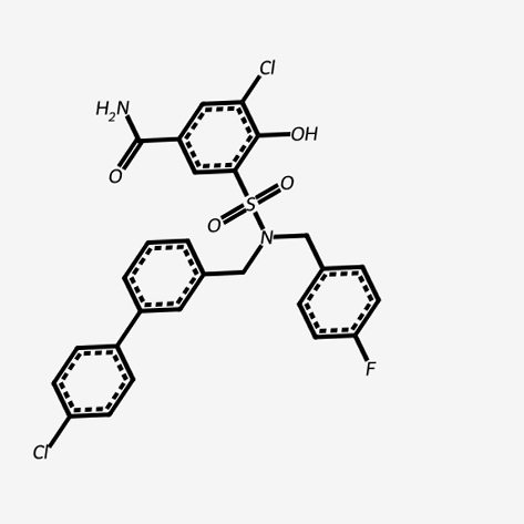 NC(=O)c1cc(Cl)c(O)c(S(=O)(=O)N(Cc2ccc(F)cc2)Cc2cccc(-c3ccc(Cl)cc3)c2)c1